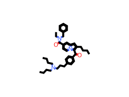 CCCCc1cc2cc(C(=O)N(CC)Cc3ccccc3)ccn2c1C(=O)c1ccc(CCCN(CCCC)CCCC)cc1